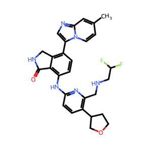 Cc1ccn2c(-c3ccc(Nc4ccc(C5CCOC5)c(CNCC(F)F)n4)c4c3CNC4=O)cnc2c1